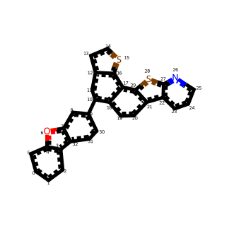 c1ccc2c(c1)oc1cc(-c3cc4ccsc4c4c3ccc3c5cccnc5sc34)ccc12